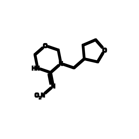 O=[N+]([O-])N=C1NCOCN1CC1CCOC1